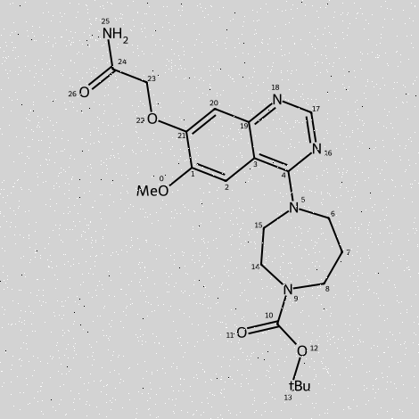 COc1cc2c(N3CCCN(C(=O)OC(C)(C)C)CC3)ncnc2cc1OCC(N)=O